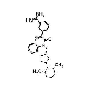 C[C@@H]1CCC[C@H](C)N1C1CCC(Cn2c(=O)c(-c3cccc(C(=N)N)c3)nc3ccccc32)C1